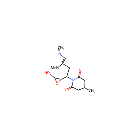 C=N/C=C(/CC(C1OC1O)N1C(=O)CC(C)CC1=O)NC